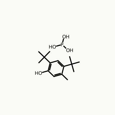 Cc1cc(O)c(C(C)(C)C)cc1C(C)(C)C.OP(O)O